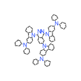 c1ccc(N(c2ccccc2)c2ccc3c(c2)c2ccccc2n3-c2ccc3c(-n4c5ccccc5c5cc(N(c6ccccc6)c6ccccc6)ccc54)nnc(-n4c5ccccc5c5cc(N(c6ccccc6)c6ccccc6)ccc54)c3c2)cc1